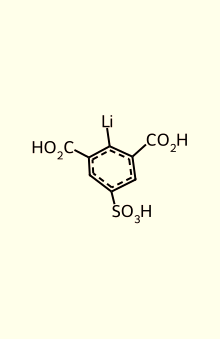 [Li][c]1c(C(=O)O)cc(S(=O)(=O)O)cc1C(=O)O